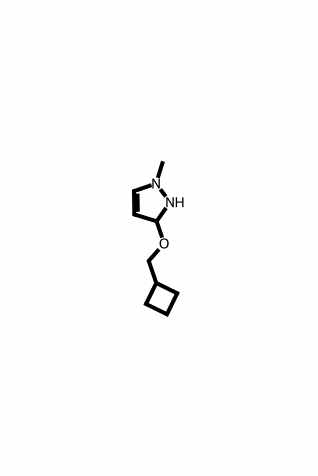 CN1C=CC(OCC2CCC2)N1